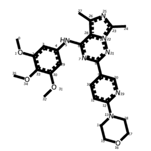 COc1cc(Nc2nc(-c3ccc(N4CCOCC4)nc3)nn3c(C)nc(C)c23)cc(OC)c1OC